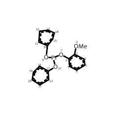 COc1ccccc1OP(Oc1ccccc1)Oc1ccccc1